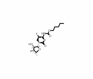 CCCCCOC(=O)Nc1nc(=O)n([C@@H]2O[C@H](C)[C@@H](C)[C@H]2O)cc1F